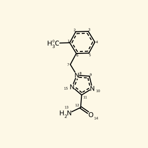 Cc1ccccc1Cn1cnc(C(N)=O)n1